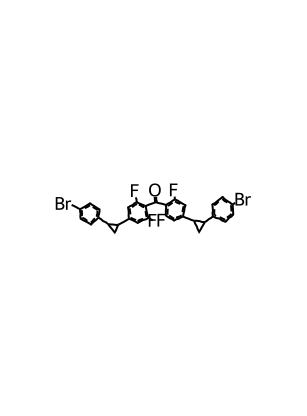 O=C(c1c(F)cc(C2CC2c2ccc(Br)cc2)cc1F)c1c(F)cc(C2CC2c2ccc(Br)cc2)cc1F